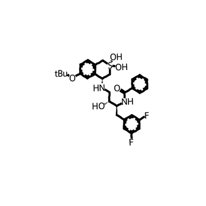 CC(C)(C)Oc1ccc2c(c1)[C@@H](NC[C@@H](O)[C@H](Cc1cc(F)cc(F)c1)NC(=O)c1ccccc1)CS(O)(O)C2